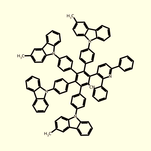 Cc1ccc2c(c1)c1ccccc1n2-c1ccc(-c2c(C#N)c(-c3ccc(-c4ccccc4)nc3-c3ccccc3)c(-c3ccc(-n4c5ccccc5c5cc(C)ccc54)cc3)c(-c3ccc(-n4c5ccccc5c5cc(C)ccc54)cc3)c2-c2ccc(-n3c4ccccc4c4ccccc43)cc2)cc1